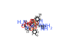 Cc1ccc(S(=O)(=O)N(C(=O)[C@@H]2CCCN2C(=O)CN)[C@@](CCCNC(=N)N)(C(=O)O)S(=O)(=O)c2ccc(C)cc2)cc1